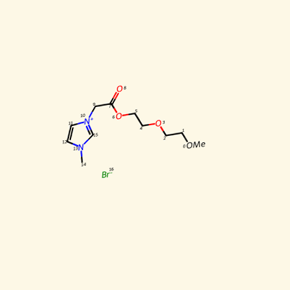 COCCOCCOC(=O)C[n+]1ccn(C)c1.[Br-]